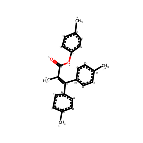 CC(C(=O)Oc1ccc(C)cc1)=C(c1ccc(C)cc1)c1ccc(C)cc1